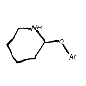 CC(=O)O[C@H]1CCCCN1